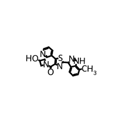 Cc1cccc2c(-c3nc(C(=O)N4CC(O)C4)c(-c4cccnc4)s3)n[nH]c12